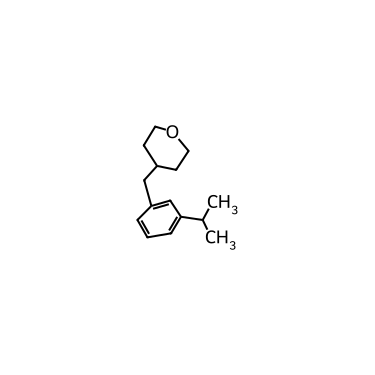 CC(C)c1cccc(CC2CCOCC2)c1